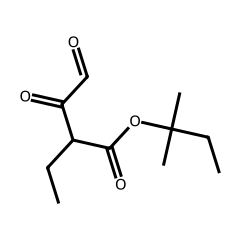 CCC(C(=O)C=O)C(=O)OC(C)(C)CC